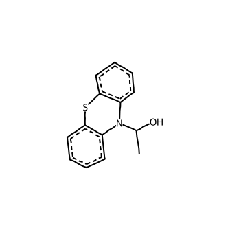 CC(O)N1c2ccccc2Sc2ccccc21